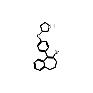 BrC1=C(c2ccc(O[C@H]3CCNC3)cc2)c2ccccc2CCC1